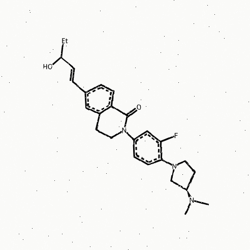 CCC(O)/C=C/c1ccc2c(c1)CCN(c1ccc(N3CC[C@@H](N(C)C)C3)c(F)c1)C2=O